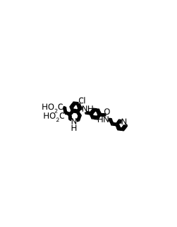 O=C(O)CC(C(=O)O)C1CNCCc2c1ccc(Cl)c2NCc1ccc(C(=O)NCCc2cccnc2)cc1